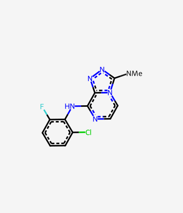 CNc1nnc2c(Nc3c(F)cccc3Cl)nccn12